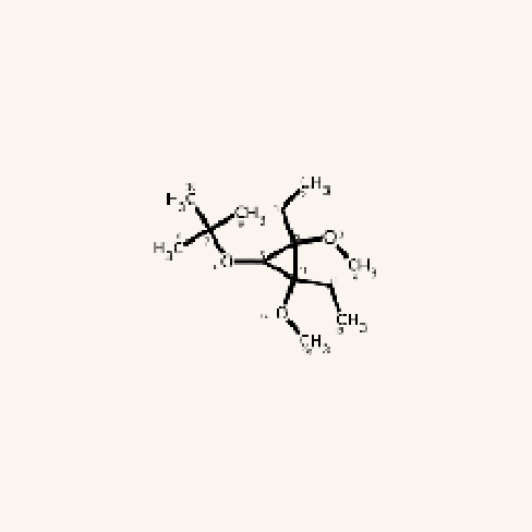 CCC1(OC)C(OC(C)(C)C)C1(CC)OC